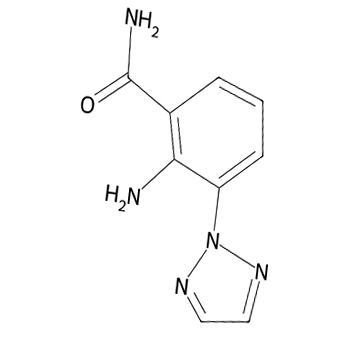 NC(=O)c1cccc(-n2nccn2)c1N